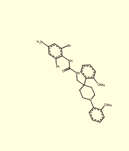 COc1ccccc1N1CCC(CNC(=O)Nc2c(C(C)C)cc(N)cc2C(C)C)(c2ccccc2OC)CC1